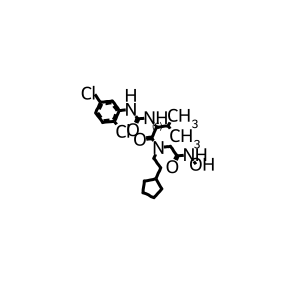 CC(C)[C@H](NC(=O)Nc1cc(Cl)ccc1Cl)C(=O)N(CCC1CCCC1)CC(=O)NO